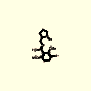 CCN1CCCC1C/N=C(\C)c1c(OC)ccc(Cl)c1OC